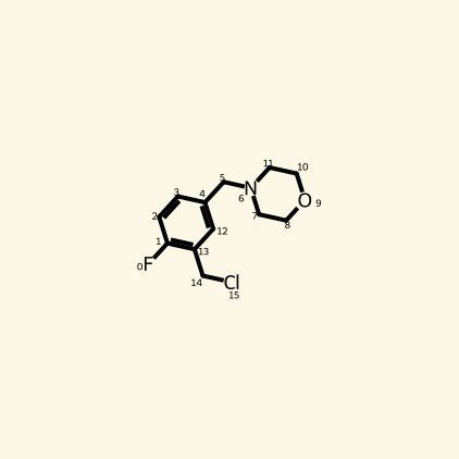 Fc1ccc(CN2CCOCC2)cc1CCl